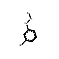 ClNNc1cccc(Br)c1